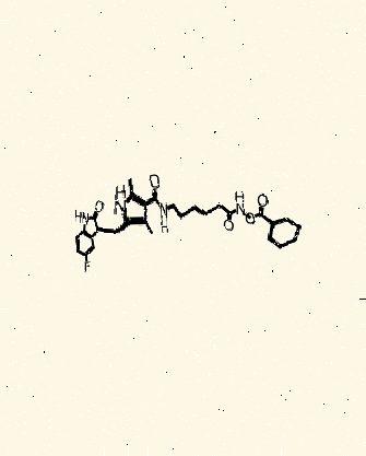 Cc1[nH]c(C=C2C(=O)Nc3ccc(F)cc32)c(C)c1C(=O)NCCCCCC(=O)NOC(=O)C1CCCCC1